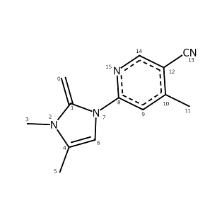 C=C1N(C)C(C)=CN1c1cc(C)c(C#N)cn1